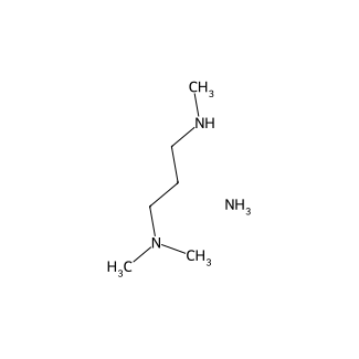 CNCCCN(C)C.N